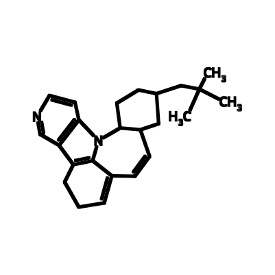 CC(C)(C)CC1CCC2C(C=CC3=CCCc4c3n2c2ccncc42)C1